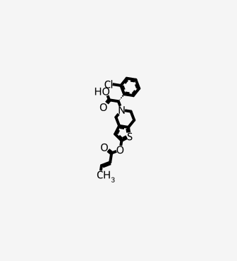 C/C=C/C(=O)Oc1cc2c(s1)CCN([C@H](C(=O)O)c1ccccc1Cl)C2